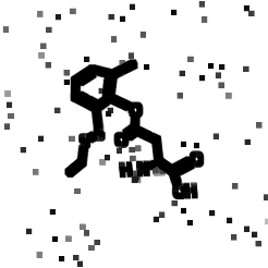 CCSSc1cccc(C)c1OC(=O)C[C@H](N)C(=O)O